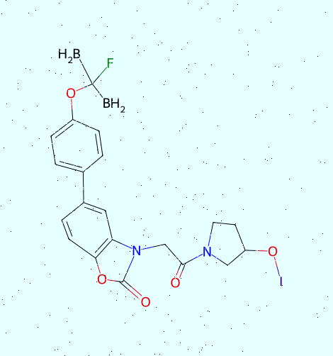 BC(B)(F)Oc1ccc(-c2ccc3oc(=O)n(CC(=O)N4CCC(OI)C4)c3c2)cc1